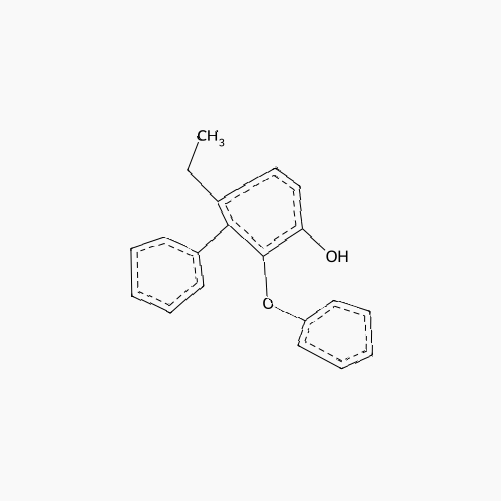 CCc1ccc(O)c(Oc2ccccc2)c1-c1ccccc1